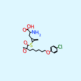 C=C1C(CC(N)C(=O)O)C1SC(=O)C1(CCCCCCOc2ccc(Cl)cc2)CO1